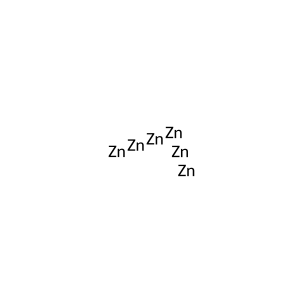 [Zn].[Zn].[Zn].[Zn].[Zn].[Zn]